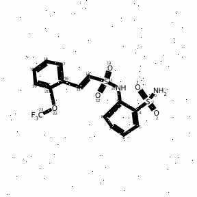 NS(=O)(=O)c1ccccc1NS(=O)(=O)C=Cc1ccccc1OC(F)(F)F